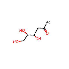 CC(=O)C(=O)CC(O)[C@H](O)CO